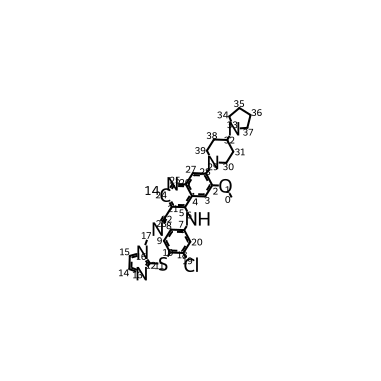 COc1cc2c(Nc3ccc(Sc4nccn4C)c(Cl)c3)c(C#N)[14cH]nc2cc1N1CCC(N2CCCC2)CC1